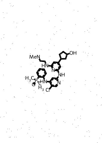 CNCCNc1cc(C2CCC(O)C2)cc(Nc2cc(Nc3ccccc3P(C)(C)=O)c(Cl)cn2)n1